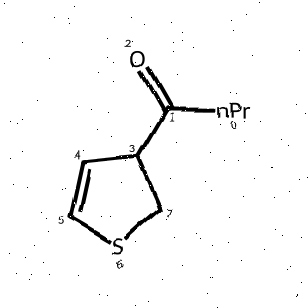 CCCC(=O)C1C=CSC1